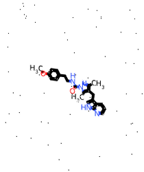 COc1ccc(CCNC(=O)n2nc(C)c(Cc3c[nH]c4ncccc34)c2C)cc1